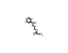 NC(=O)OCCCNC1=CCOC=C1